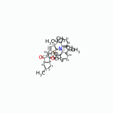 Cc1ccc2c(c1)C(=O)/C(=C/c1cc3c(s1)N(c1c(C(C)C)cccc1C(C)C)c1ccccc1C3(C)C)C2=O